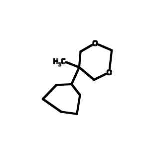 CC1(C2CCCCC2)COCOC1